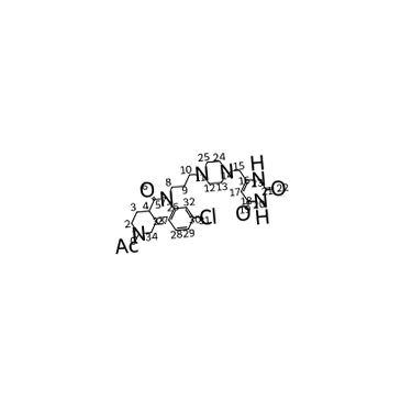 CC(=O)N1CCC(C(=O)N(CCCN2CCN(Cc3cc(=O)[nH]c(=O)[nH]3)CC2)c2cccc(Cl)c2)CC1